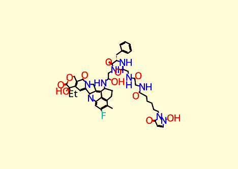 CC[C@@]1(O)C(=O)OCc2c1cc1n(c2=O)Cc2c-1nc1cc(F)c(C)c3c1c2C(NC(O)CNC(=O)[C@H](Cc1ccccc1)NC(=O)CNC(=O)CNC(=O)CCCCCn1c(=O)ccn1O)CC3